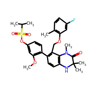 COc1cc(OS(=O)(=O)C(C)C)ccc1-c1ccc2c(c1COc1cc(F)ccc1C)N(C)C(=O)C(C)(C)N2